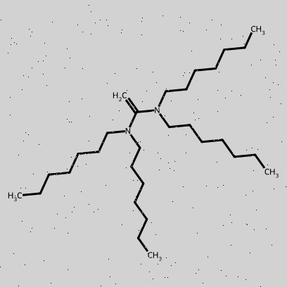 C=C(N(CCCCCCC)CCCCCCC)N(CCCCCCC)CCCCCCC